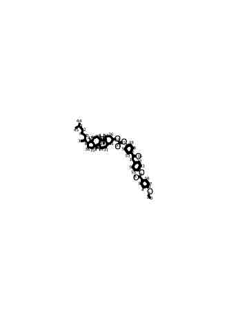 CCOc1ccc(C(=O)Oc2ccc(CC(=O)c3ccc(OC(=O)OC4CC[C@]5(C)C(C=CC6[C@H]7CC[C@@H](C(C)CCCC(C)C)[C@]7(C)CC[C@H]65)C4)cc3)cc2)cc1